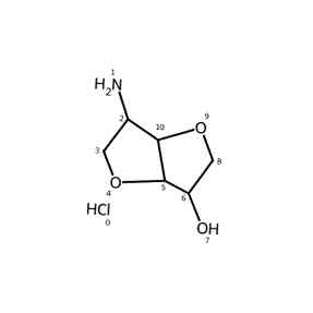 Cl.NC1COC2C(O)COC12